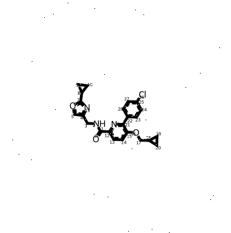 O=C(NCc1coc(C2CC2)n1)c1ccc(OCC2CC2)c(-c2ccc(Cl)cc2)n1